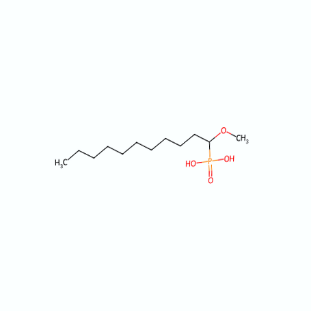 CCCCCCCCCCC(OC)P(=O)(O)O